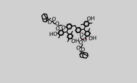 Cc1cc(C(c2cc(C)c(O)cc2C)c2cc(Cc3ccc(OCC(=O)OCC(=O)OC4(C)C5CC6CC(C5)CC4C6)c(C(c4cc(C)c(O)cc4C)c4cc(C)c(O)cc4C)c3)ccc2OCC(=O)OCC(=O)OC2(C)C3CC4CC(C3)CC2C4)c(C)cc1O